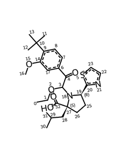 CCOC(C(=O)c1ccc(C(C)(C)C)c(OC)c1)N1[C@@H](c2nccs2)CC[C@]1(CC(C)C)C(=O)O